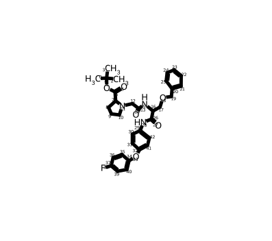 CC(C)(C)OC(=O)C1CCCN1CC(=O)NC(COCc1ccccc1)C(=O)Nc1ccc(Oc2ccc(F)cc2)cc1